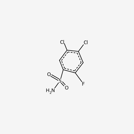 NS(=O)(=O)c1cc(Cl)c(Cl)cc1F